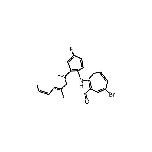 C/C=C\C=C(/C)CN(C)c1cc(F)ccc1NC1=C(C=O)C=C(Br)C=CC1